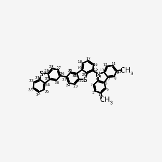 Cc1ccc2c(c1)c1cc(C)ccc1n2-c1cccc2c1sc1ccc(-c3ccc4sc5ccccc5c4c3)cc12